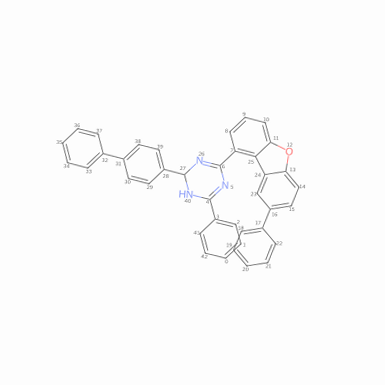 c1ccc(C2=NC(c3cccc4oc5ccc(-c6ccccc6)cc5c34)=NC(c3ccc(-c4ccccc4)cc3)N2)cc1